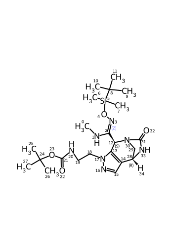 CN/C(=N\O[Si](C)(C)C(C)(C)C)[C@@H]1c2c(cnn2CCNC(=O)OC(C)(C)C)[C@@H]2CN1C(=O)N2